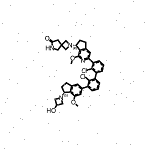 COc1cc(-c2cccc(-c3cccc(-c4cc5c(c(OC)n4)[C@H](N4CC6(CNC(=O)C6)C4)CC5)c3Cl)c2Cl)cc2c1[C@@H](N1CC(O)C1)CC2